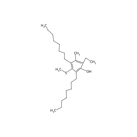 CCCCCCCCc1c(C)c(CC)c(O)c(CCCCCCCC)c1SC